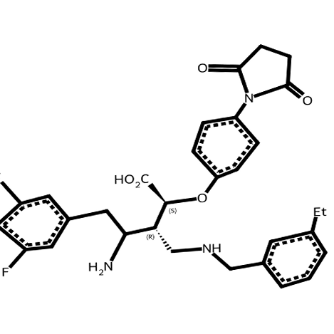 CCc1cccc(CNC[C@H](C(N)Cc2cc(F)cc(F)c2)[C@H](Oc2ccc(N3C(=O)CCC3=O)cc2)C(=O)O)c1